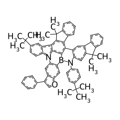 CC(C)(C)c1ccc(N2B3c4cc5occ(-c6ccccc6)c5cc4-n4c5ccc(C(C)(C)C)cc5c5c6c(c(c3c54)-c3cc4c(cc32)C(C)(C)c2ccccc2-4)-c2ccccc2C6(C)C)cc1